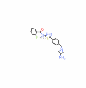 CCCCN(C(=O)c1ccccc1F)c1nnc(-c2ccc(CN3CC(N)C3)cc2)s1